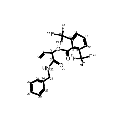 C=CC(OC(=O)c1c(C(F)(F)F)cccc1C(F)(F)F)C(=O)NCc1ccccc1